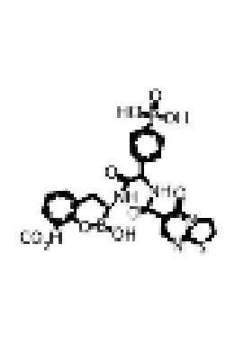 O=C(O)c1cccc2c1OB(O)[C@@H](NC(=O)C(NC(=O)c1cnc3n(c1=O)CCS3)c1ccc(P(=O)(O)O)cc1)C2